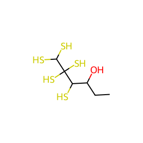 CCC(O)C(S)C(S)(S)C(S)S